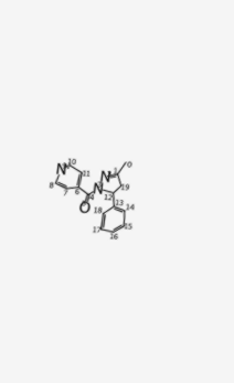 CC1=NN(C(=O)c2ccncc2)C(c2ccccc2)C1